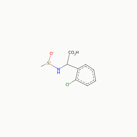 C[S+]([O-])NC(C(=O)O)c1ccccc1Cl